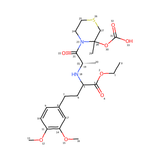 CCOC(=O)C(CCc1ccc(OC)c(OC)c1)N[C@@H](C)C(=O)N1CCSCC1(C)OC(=O)O